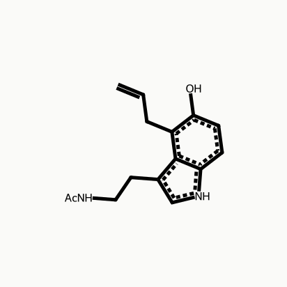 C=CCc1c(O)ccc2[nH]cc(CCNC(C)=O)c12